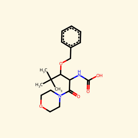 CC(C)(C)C(OCc1ccccc1)C(NC(=O)O)C(=O)N1CCOCC1